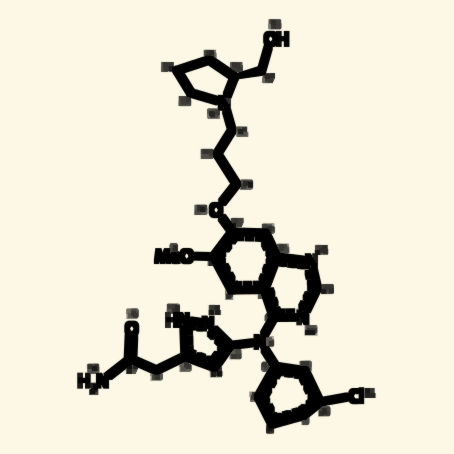 COc1cc2c(N(c3cccc(Cl)c3)c3cc(CC(N)=O)[nH]n3)ncnc2cc1OCCCN1CCC[C@H]1CO